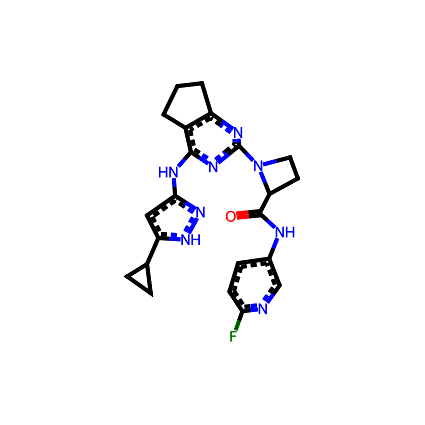 O=C(Nc1ccc(F)nc1)C1CCN1c1nc2c(c(Nc3cc(C4CC4)[nH]n3)n1)CCC2